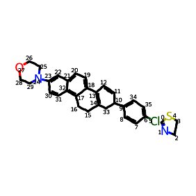 C1=NCCS1.Clc1ccc(C2C=CC3=C(CCc4c3ccc3cc(N5CCOCC5)ccc43)C2)cc1